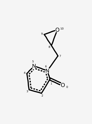 O=c1cccnn1CC1CO1